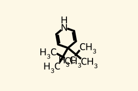 CC(C)(C)C1(C(C)(C)C)C=CNC=C1